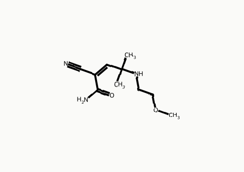 COCCNC(C)(C)C=C(C#N)C(N)=O